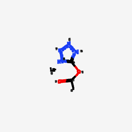 CC(=O)Oc1nnn[nH]1.[La]